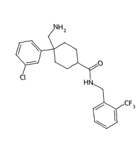 NCC1(c2cccc(Cl)c2)CCC(C(=O)NCc2ccccc2C(F)(F)F)CC1